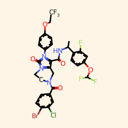 CC(NC(=O)c1c2n(c(=O)n1-c1ccc(OCC(F)(F)F)cc1)CCN(C(=O)c1ccc(Br)c(Cl)c1)C2)c1ccc(OC(F)F)cc1F